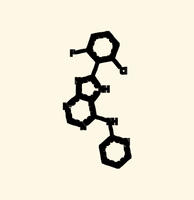 Fc1cccc(Cl)c1-c1nc2ncnc(Nc3ccccn3)c2[nH]1